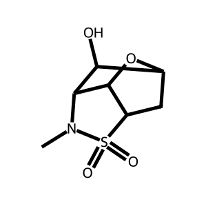 CN1C2C(O)C3CC(C2O3)S1(=O)=O